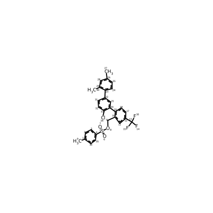 Cc1ccc(S(=O)(=O)OCc2cc(C(F)(F)F)ccc2-c2cc(-c3ccc(C)cc3C)ccc2Cl)cc1